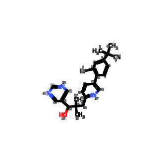 CCc1cc(C(C)(C)C#N)ccc1-c1ccc(CC(C)(C)C(O)c2cncnc2)nc1